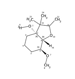 [3H]O[C@@]12CCC[C@H](OC)[C@H]1OC(C)C2(C)C